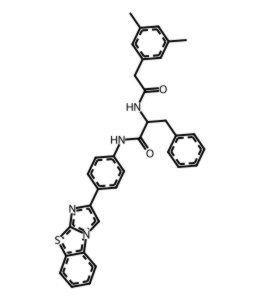 Cc1cc(C)cc(CC(=O)NC(Cc2ccccc2)C(=O)Nc2ccc(-c3cn4c(n3)sc3ccccc34)cc2)c1